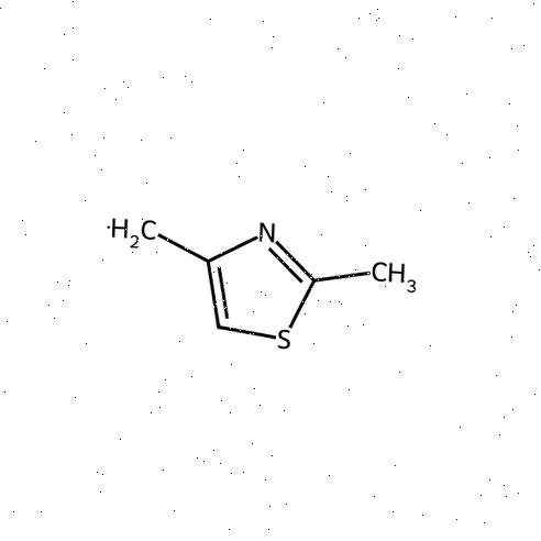 [CH2]c1csc(C)n1